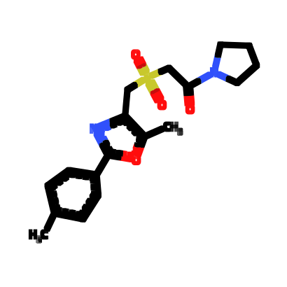 Cc1ccc(-c2nc(CS(=O)(=O)CC(=O)N3CCCC3)c(C)o2)cc1